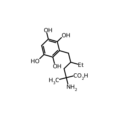 CCC(Cc1c(O)c(O)cc(O)c1O)CC(C)(N)C(=O)O